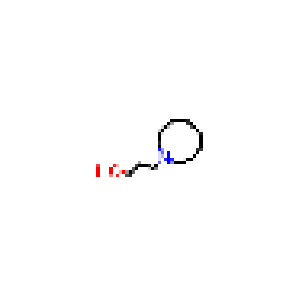 OCCCN1CCCCCCCC1